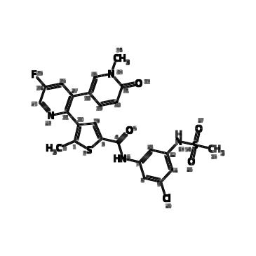 Cc1sc(C(=O)Nc2cc(Cl)cc(NS(C)(=O)=O)c2)cc1-c1ncc(F)cc1-c1ccc(=O)n(C)c1